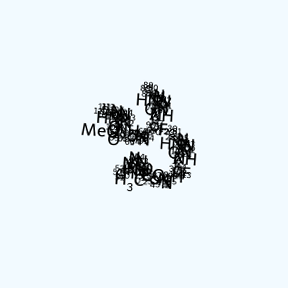 CC(Cc1ccc(-n2cc(-c3cc(F)cc(CNC(=O)c4ncnc5nc(C6CCCC6)[nH]c45)c3)cn2)cc1)(NC(=O)c1ncnc2nc(C3CCCC3)[nH]c12)C(=O)O.COC(=O)C(Cc1ccc(-n2cc(-c3cc(F)cc(CNC(=O)c4ncnc5nc(C6CCCC6)[nH]c45)c3)cn2)cc1)NC(=O)c1ncnc2nc(C3CCCC3)[nH]c12